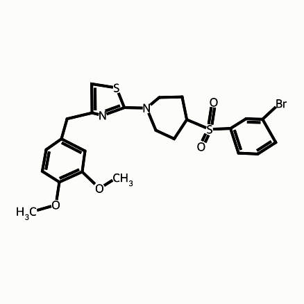 COc1ccc(Cc2csc(N3CCC(S(=O)(=O)c4cccc(Br)c4)CC3)n2)cc1OC